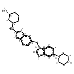 O[C@@H]1CCCC(Nc2nc3ccc(Cn4cnc5cc(N6CCOCC6)ccc54)cc3s2)C1